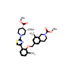 CO[C@@H]1CN(c2nc(-c3cccc(C)c3OCc3cc(C)c4c(c3)CCN(C(=O)OC(C)(C)C)C4)cs2)CC[C@@H]1C(=O)OC(C)(C)C